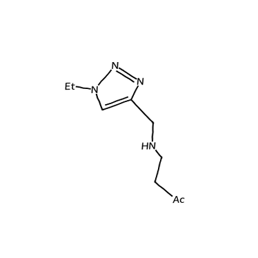 CCn1cc(CNCCC(C)=O)nn1